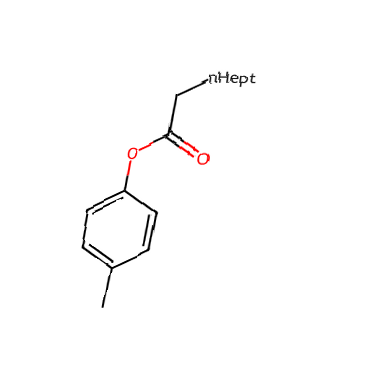 CCCCCCCCC(=O)Oc1ccc(C)cc1